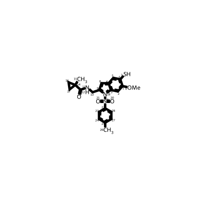 COc1cc2c(cc1S)cc(CNC(=O)C1(C)CC1)n2S(=O)(=O)c1ccc(C)cc1